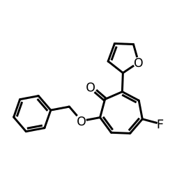 O=c1c(OCc2ccccc2)ccc(F)cc1C1C=CCO1